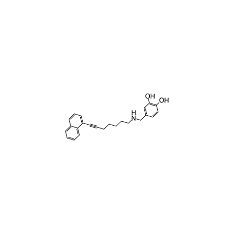 Oc1ccc(CNCCCCCC#Cc2cccc3ccccc23)cc1O